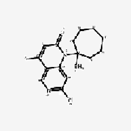 BC1(n2c(=O)cc(C)c3cnc(Cl)cc32)CCCCCC1